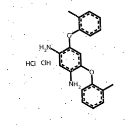 Cc1ccccc1Oc1cc(Oc2ccccc2C)c(N)cc1N.Cl.Cl